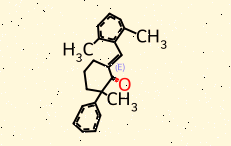 Cc1cccc(C)c1/C=C1\CCCC(C)(c2ccccc2)C1=O